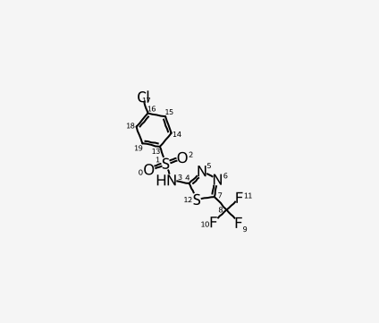 O=S(=O)(Nc1nnc(C(F)(F)F)s1)c1ccc(Cl)cc1